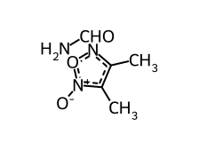 Cc1no[n+]([O-])c1C.NC=O